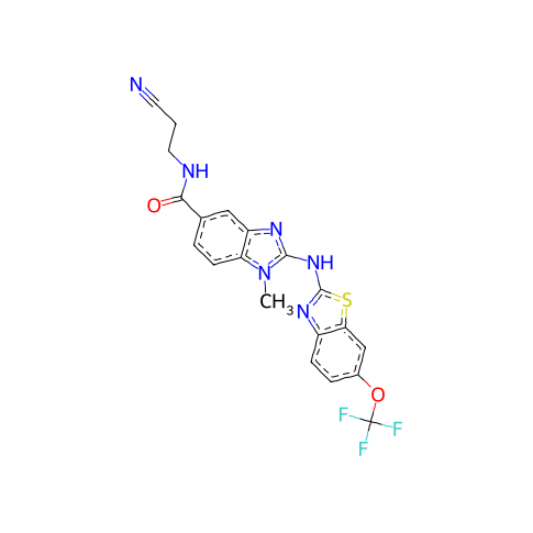 Cn1c(Nc2nc3ccc(OC(F)(F)F)cc3s2)nc2cc(C(=O)NCCC#N)ccc21